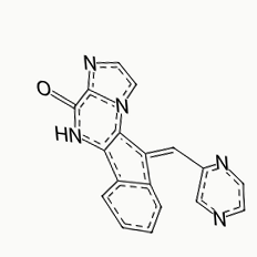 O=c1[nH]c2c3ccccc3c(=Cc3cnccn3)c2n2ccnc12